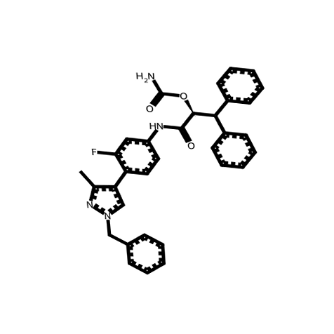 Cc1nn(Cc2ccccc2)cc1-c1ccc(NC(=O)[C@@H](OC(N)=O)C(c2ccccc2)c2ccccc2)cc1F